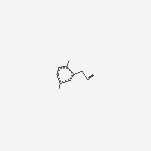 C=CCc1cc(C(=O)O)ccc1C(=O)O